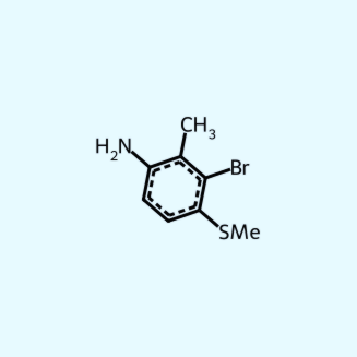 CSc1ccc(N)c(C)c1Br